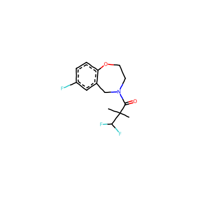 CC(C)(C(=O)N1CCOc2ccc(F)cc2C1)C(F)F